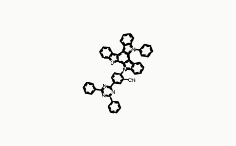 N#Cc1cc(-c2nc(-c3ccccc3)nc(-c3ccccc3)n2)ccc1-n1c2ccccc2c2c1c1oc3ccccc3c1c1c3ccccc3n(-c3ccccc3)c12